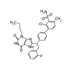 CCCCn1c(=O)[nH]c(=O)c2[nH]c(C(Cc3ccccc3F)c3ccc(-c4ccc(C)c(S(N)(=O)=O)c4Cl)cc3)nc21